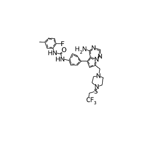 Cc1ccc(F)c(NC(=O)Nc2ccc(-c3cc(CN4CCN(SCC(F)(F)F)CC4)n4ncnc(N)c34)cc2)c1